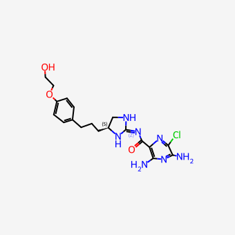 Nc1nc(N)c(C(=O)/N=C2/NC[C@H](CCCc3ccc(OCCO)cc3)N2)nc1Cl